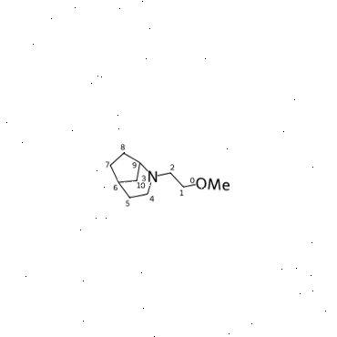 COCCN1CCC2CCC1C2